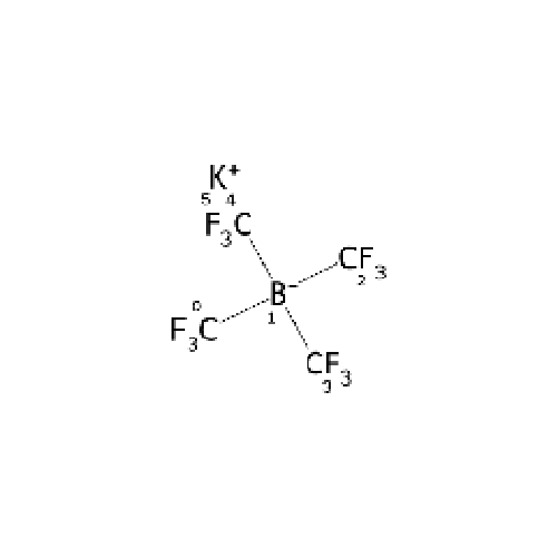 FC(F)(F)[B-](C(F)(F)F)(C(F)(F)F)C(F)(F)F.[K+]